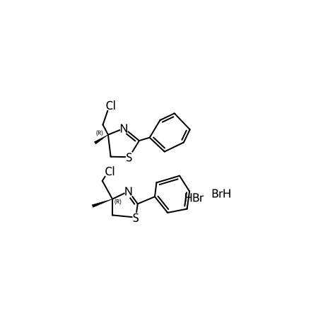 Br.Br.C[C@]1(CCl)CSC(c2ccccc2)=N1.C[C@]1(CCl)CSC(c2ccccc2)=N1